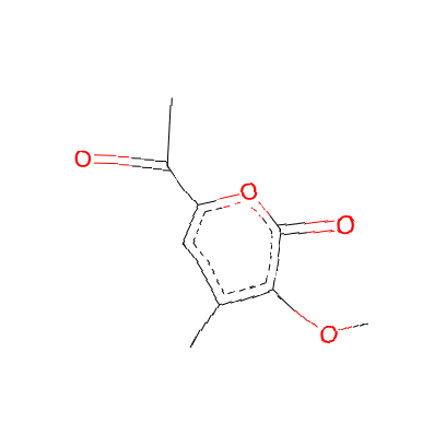 COc1c(C)cc(C(C)=O)oc1=O